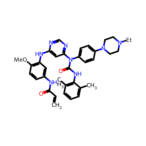 C=CC(=O)Nc1ccc(OC)c(Nc2cc(N(C(=O)Nc3c(C)cccc3C)c3ccc(N4CCN(CC)CC4)cc3)ncn2)c1